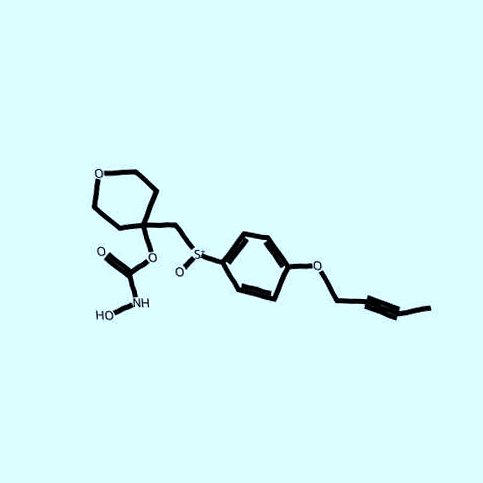 CC#CCOc1ccc([S+]([O-])CC2(OC(=O)NO)CCOCC2)cc1